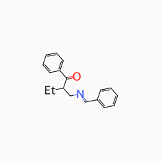 CCC(CN=Cc1ccccc1)C(=O)c1ccccc1